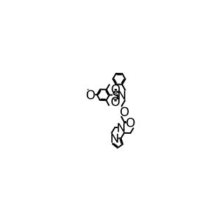 CCC1c2cccn2CCN1C(=O)COCCN(Cc1ccccc1)S(=O)(=O)c1c(C)cc(OC)cc1C